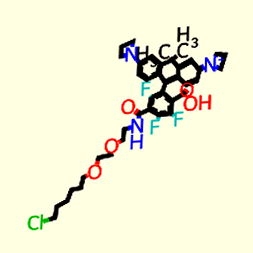 CC1(C)C2=CC(=[N+]3CCC3)C=CC2=C(c2c(F)c(C(=O)NCCOCCOCCCCCCCl)c(F)c(F)c2C(=O)O)c2ccc(N3CCC3)cc21